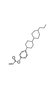 C=CC(=O)Oc1ccc(C2CCC(C3CCC(CCC)CC3)CC2)cc1